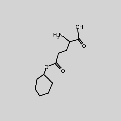 NC(CCC(=O)OC1CCCCC1)C(=O)O